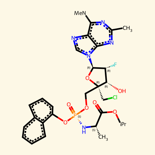 CNc1nc(C)nc2c1ncn2[C@@H]1O[C@](CCl)(CO[P@@](=O)(N[C@@H](C)C(=O)OC(C)C)Oc2cccc3ccccc23)[C@@H](O)[C@H]1F